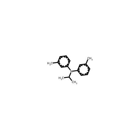 Cc1cccc(N(c2cccc(C)c2)C(C)C)c1